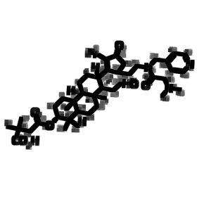 CC(C)C1=C2[C@H]3CC[C@@H]4[C@@]5(C)CC[C@H](OC(=O)CC(C)(C)C(=O)O)C(C)(C)[C@@H]5CC[C@@]4(C)[C@]3(C)CC[C@@]2([C@@H](O)CN(Cc2ccncc2)C(=O)CN(C)C)CC1=O